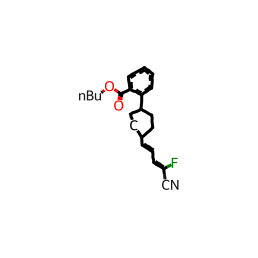 CCCCOC(=O)c1ccccc1C1CCC(/C=C/C=C(F)C#N)CC1